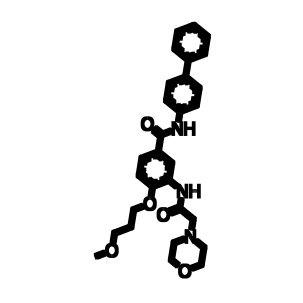 COCCCOc1ccc(C(=O)Nc2ccc(-c3ccccc3)cc2)cc1NC(=O)CN1CCOCC1